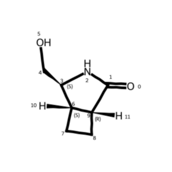 O=C1N[C@H](CO)[C@H]2CC[C@@H]12